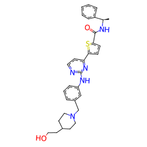 C[C@@H](NC(=O)c1ccc(-c2ccnc(Nc3cccc(CN4CCC(CCO)CC4)c3)n2)s1)c1ccccc1